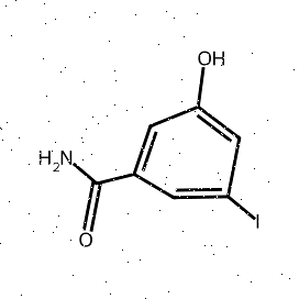 NC(=O)c1cc(O)cc(I)c1